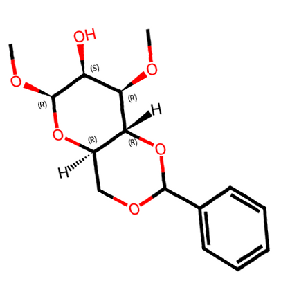 CO[C@@H]1O[C@@H]2COC(c3ccccc3)O[C@H]2[C@H](OC)[C@@H]1O